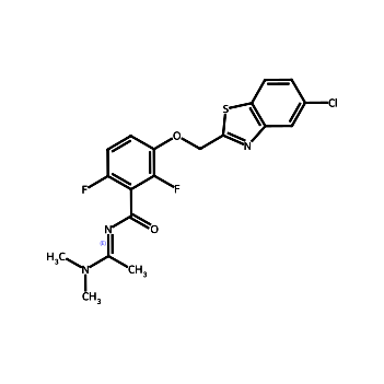 C/C(=N\C(=O)c1c(F)ccc(OCc2nc3cc(Cl)ccc3s2)c1F)N(C)C